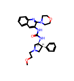 COCCN1C[C@@H](NC(=O)Nc2cc3ccccc3nc2N2CCOCC2)[C@H](c2ccccc2)C1